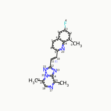 Cc1cc(F)cc2ccc(/C=C/c3nc4c(C)ncc(C)n4n3)nc12